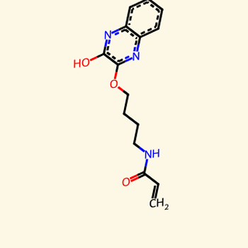 C=CC(=O)NCCCCOc1nc2ccccc2nc1O